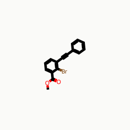 COC(=O)c1cccc(C#Cc2ccccc2)c1Br